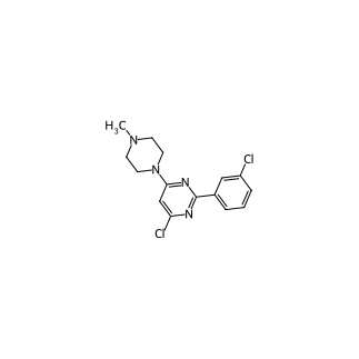 CN1CCN(c2cc(Cl)nc(-c3cccc(Cl)c3)n2)CC1